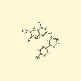 CC1Oc2c(Cl)cc(CC3C=C(c4ccc(Cl)cc4)CCN3)cc2NC1=O